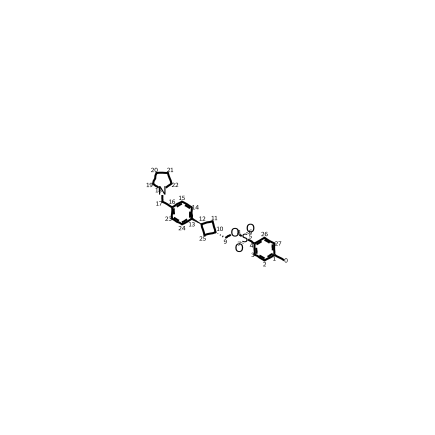 Cc1ccc(S(=O)(=O)OC[C@H]2C[C@H](c3ccc(CN4CCCC4)cc3)C2)cc1